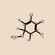 COC1(F)C(F)=C(Cl)C(Cl)=C(Cl)C1F